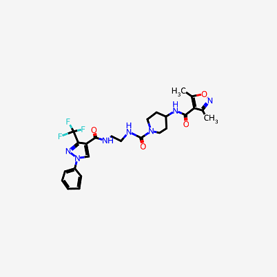 Cc1noc(C)c1C(=O)NC1CCN(C(=O)NCCNC(=O)c2cn(-c3ccccc3)nc2C(F)(F)F)CC1